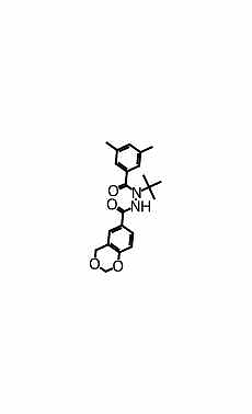 Cc1cc(C)cc(C(=O)N(NC(=O)c2ccc3c(c2)COCO3)C(C)(C)C)c1